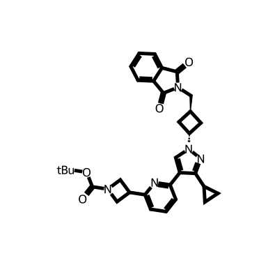 CC(C)(C)OC(=O)N1CC(c2cccc(-c3cn([C@H]4C[C@H](CN5C(=O)c6ccccc6C5=O)C4)nc3C3CC3)n2)C1